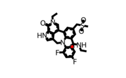 CCNC(=O)c1cc(CS(C)(=O)=O)cc2c1N(c1ccc(F)cc1F)Cc1c[nH]c3c(=O)n(CC)cc-2c13